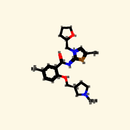 CC(C)(C)c1cn(C[C@H]2CCCO2)c(=NC(=O)c2cc(C(F)(F)F)ccc2OC[C@@H]2CCN(C(=O)O)C2)s1